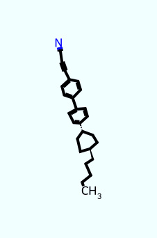 CCCCC[C@H]1CC[C@H](c2ccc(-c3ccc(C#CC#N)cc3)cc2)CC1